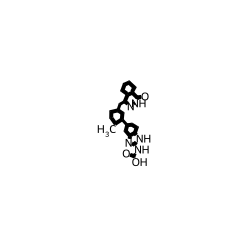 Cc1ccc(Cc2n[nH]c(=O)c3ccccc23)cc1-c1ccc2[nH]c(NC(=O)O)nc2c1